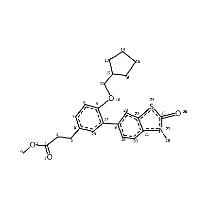 COC(=O)CCc1ccc(OCC2CCCC2)c(-c2ccc3c(c2)sc(=O)n3C)c1